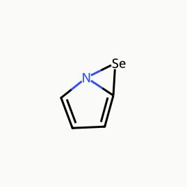 c1cc2n(c1)[Se]2